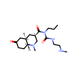 CCCN(C(=O)NCCNC)C(=O)[C@@H]1C[C@@H]2CC(=O)CC[C@H]2N(C)C1